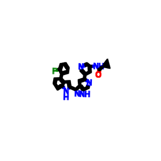 O=C(Nc1cncc(-c2cc3c(-c4cc5c(-c6ccccc6F)cccc5[nH]4)n[nH]c3cn2)c1)C1CC1